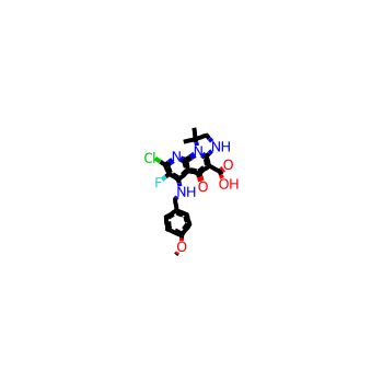 COc1ccc(CNc2c(F)c(Cl)nc3c2c(=O)c(C(=O)O)c2n3C(C)(C)CN2)cc1